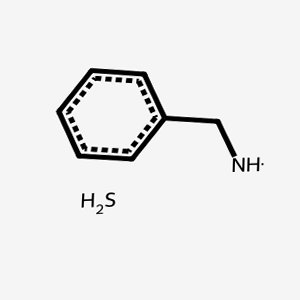 S.[NH]Cc1ccccc1